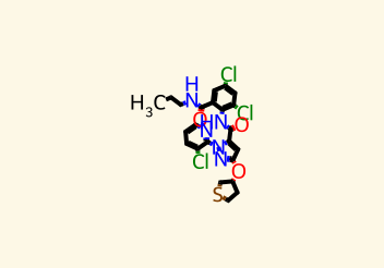 CCCNC(=O)c1cc(Cl)cc(Cl)c1NC(=O)c1cc(OC2CCSC2)nn1-c1ncccc1Cl